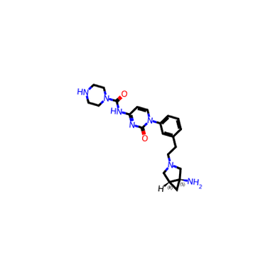 N[C@@]12C[C@@H]1CN(CCc1cccc(-n3ccc(NC(=O)N4CCNCC4)nc3=O)c1)C2